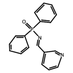 O=P(N=Cc1cccnc1)(c1ccccc1)c1ccccc1